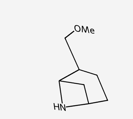 COCC1CCC2CC1N2